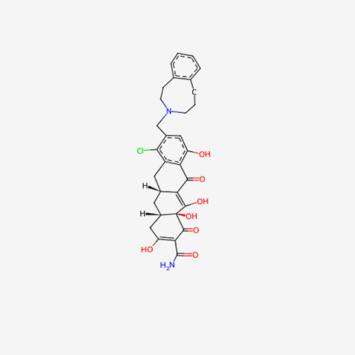 NC(=O)C1=C(O)C[C@@H]2C[C@@H]3Cc4c(Cl)c(CN5CCCc6ccccc6CC5)cc(O)c4C(=O)C3=C(O)[C@]2(O)C1=O